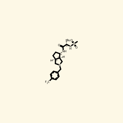 CC(C)(C)[C@H](NS(C)(=O)=O)C(=O)N[C@H]1CC[C@@H]2CN(Cc3ccc(C(F)(F)F)cc3)C[C@@H]21